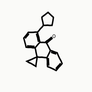 O=C1c2ccccc2C2(CC2)c2cccc(C3CCCC3)c21